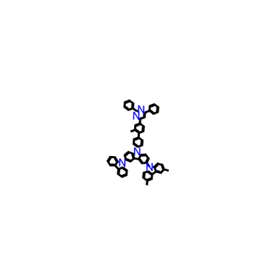 Cc1ccc2c(c1)c1cc(C)ccc1n2-c1ccc2c(c1)c1cc(-n3c4ccccc4c4ccccc43)ccc1n2-c1ccc(-c2ccc(-c3cc(-c4ccccc4)nc(-c4ccccc4)n3)cc2C)cc1